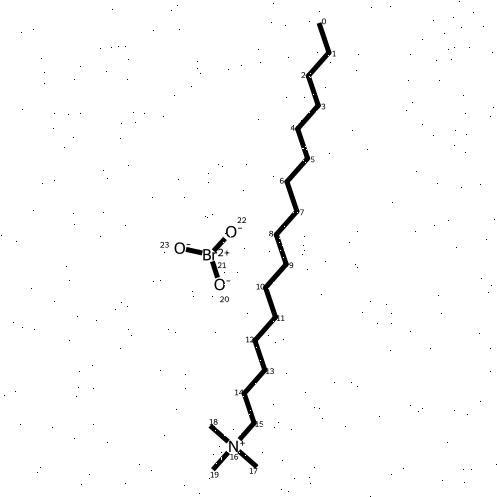 CCCCCCCCCCCCCCCC[N+](C)(C)C.[O-][Br+2]([O-])[O-]